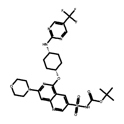 CC(C)(C)OC(=O)NS(=O)(=O)c1cnc2cc(N3CCOCC3)nc(O[C@H]3CC[C@@H](Nc4ncc(C(F)(F)F)cn4)CC3)c2c1